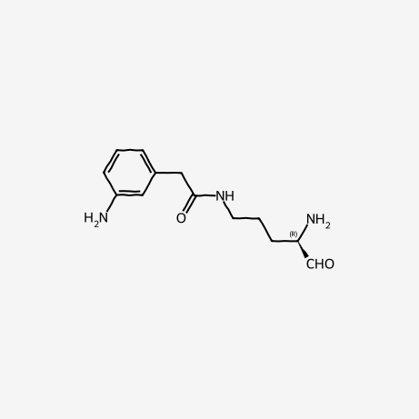 Nc1cccc(CC(=O)NCCC[C@@H](N)C=O)c1